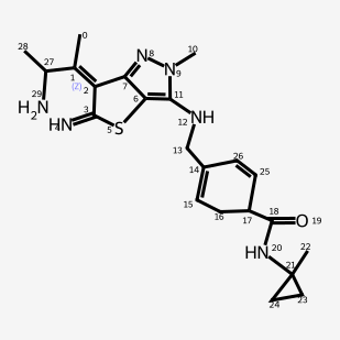 C/C(=C1/C(=N)Sc2c1nn(C)c2NCC1=CCC(C(=O)NC2(C)CC2)C=C1)C(C)N